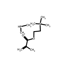 C=C(C)C(=O)OCC[N+](C)(C)C.CPC